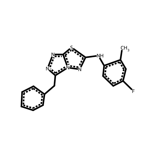 Cc1cc(F)ccc1Nc1nn2c(Cc3ccccc3)nnc2s1